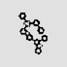 c1ccc(-c2cccc(-c3nc(-c4ccccc4)nc(-c4cccc5c4oc4cc(-c6cc(-c7ccccc7)c7oc8ccccc8c7c6)ccc45)n3)c2)cc1